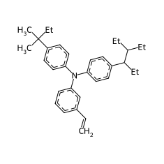 C=Cc1cccc(N(c2ccc(C(CC)C(CC)CC)cc2)c2ccc(C(C)(C)CC)cc2)c1